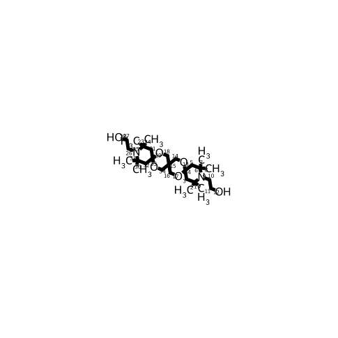 CC1(C)CC2(CC(C)(C)N1CCO)OCC1(CO2)COC2(CC(C)(C)N(CCO)C(C)(C)C2)OC1